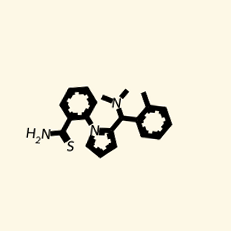 Cc1ccccc1C(c1cccn1-c1ccccc1C(N)=S)N(C)C